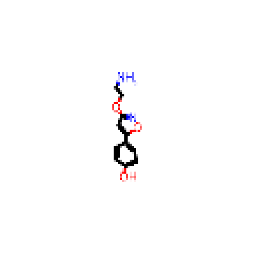 NCCOc1cc(-c2ccc(O)cc2)on1